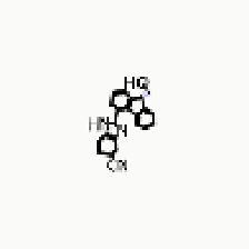 N#Cc1ccc2[nH]c(-c3cccc4c3-c3ccccc3/C4=N/O)nc2c1